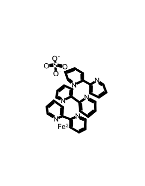 O=S(=O)([O-])[O-].[Fe+2].c1ccc(-c2ccccn2)nc1.c1ccc(-c2ccccn2)nc1.c1ccc(-c2ccccn2)nc1